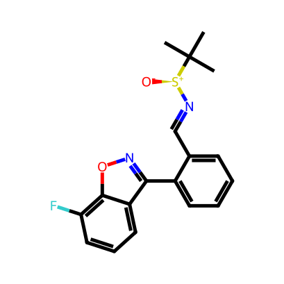 CC(C)(C)[S@+]([O-])/N=C/c1ccccc1-c1noc2c(F)cccc12